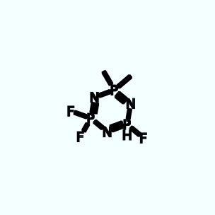 CP1(C)=N[PH](F)=NP(F)(F)=N1